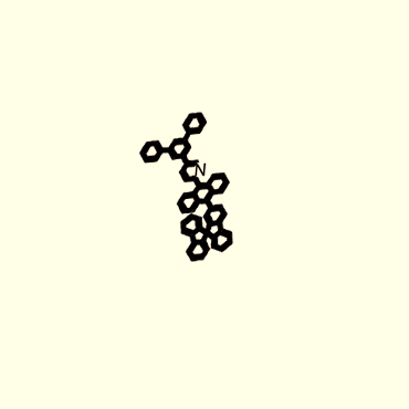 c1ccc(-c2cc(-c3ccccc3)cc(-c3ccc(-c4c5ccccc5c(-c5ccc6c(c5)C5(c7ccccc7-c7ccccc75)c5ccccc5-6)c5ccccc45)nc3)c2)cc1